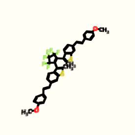 COc1ccc(C=Cc2ccc3c(C4=C(c5c(C)sc6cc(C=Cc7ccc(OC)cc7)ccc56)C(F)(F)C(F)(F)C4(F)F)c(C)sc3c2)cc1